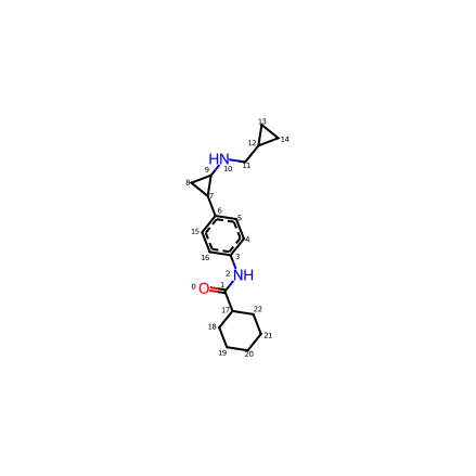 O=C(Nc1ccc(C2CC2NCC2CC2)cc1)C1CCCCC1